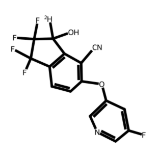 [2H]C1(O)c2c(ccc(Oc3cncc(F)c3)c2C#N)C(F)(F)C1(F)F